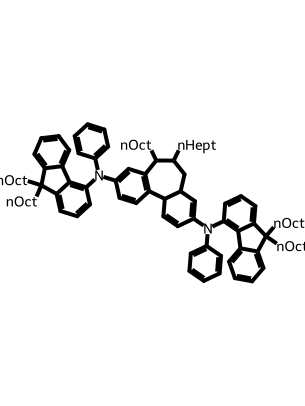 CCCCCCCCC1c2cc(N(c3ccccc3)c3cccc4c3-c3ccccc3C4(CCCCCCCC)CCCCCCCC)ccc2C2C=CC(N(c3ccccc3)c3cccc4c3-c3ccccc3C4(CCCCCCCC)CCCCCCCC)=CC2CC1CCCCCCC